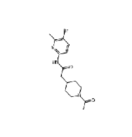 CC(=O)N1CCC(CC(=O)Nc2ccc(Br)c(C)n2)CC1